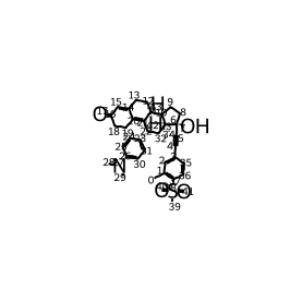 Cc1cc(C#C[C@]2(O)CC[C@H]3[C@@H]4CCC5=CC(=O)CCC5=C4[C@@H](c4ccc(N(C)C)cc4)C[C@@]32C)ccc1S(C)(=O)=O